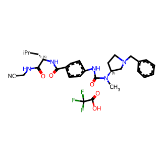 CC(C)C[C@H](NC(=O)c1ccc(NC(=O)N(C)[C@H]2CCN(Cc3ccccc3)C2)cc1)C(=O)NCC#N.O=C(O)C(F)(F)F